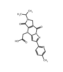 Cc1ccc(-c2cc3n(CC(=O)O)c4c(c(=O)n3n2)CN(C(C)C)C4=O)nc1